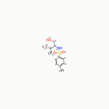 CC(C)c1ccc(S(=O)(=O)NC(CO)C(C(F)(F)F)C(F)(F)F)cc1